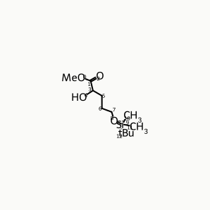 COC(=O)C(O)CCCO[Si](C)(C)C(C)(C)C